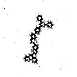 c1ccc(-c2cc(-c3ccc(-c4ccc5ccc(-c6ccc7ccc(-c8cc9cccnc9c9ncccc89)nc7c6)nc5c4)cc3)nc(-c3ccccc3)n2)cc1